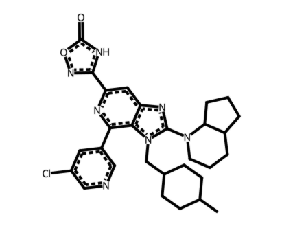 CC1CCC(Cn2c(N3CCCC4CCCC43)nc3cc(-c4noc(=O)[nH]4)nc(-c4cncc(Cl)c4)c32)CC1